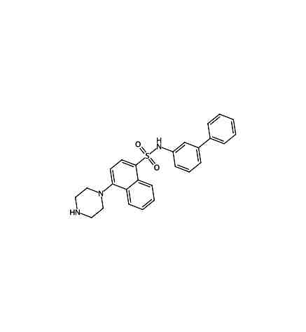 O=S(=O)(Nc1cccc(-c2ccccc2)c1)c1ccc(N2CCNCC2)c2ccccc12